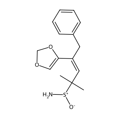 CC(C)(C=C(Cc1ccccc1)C1=COCO1)[S+](N)[O-]